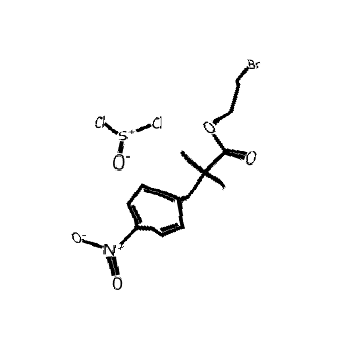 CC(C)(C(=O)OCCBr)c1ccc([N+](=O)[O-])cc1.[O-][S+](Cl)Cl